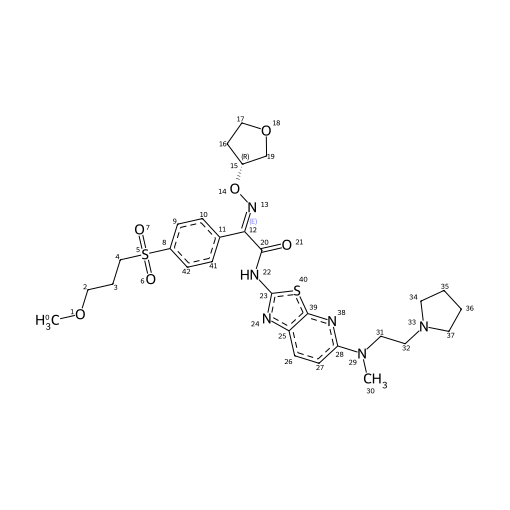 COCCCS(=O)(=O)c1ccc(/C(=N\O[C@@H]2CCOC2)C(=O)Nc2nc3ccc(N(C)CCN4CCCC4)nc3s2)cc1